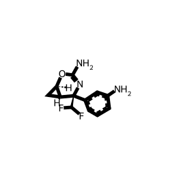 NC1=N[C@@](c2cccc(N)c2)(C(F)F)[C@H]2C[C@H]2O1